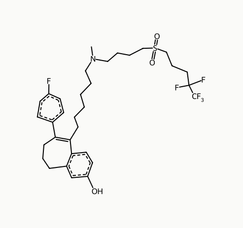 CN(CCCCCCC1=C(c2ccc(F)cc2)CCCc2cc(O)ccc21)CCCCS(=O)(=O)CCCC(F)(F)C(F)(F)F